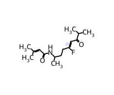 CC(C)=CC(=O)NC(C)CC/C(F)=C/C(=O)C(C)C